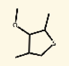 COC1C(C)CSC1C